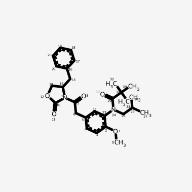 COc1ccc(CC(=O)N2C(=O)OCC2Cc2ccccc2)cc1N(CC(C)C)C(=O)C(C)(C)C